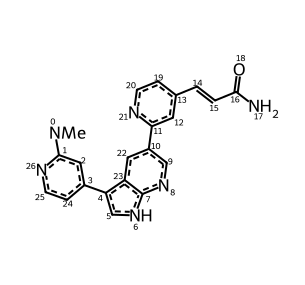 CNc1cc(-c2c[nH]c3ncc(-c4cc(C=CC(N)=O)ccn4)cc23)ccn1